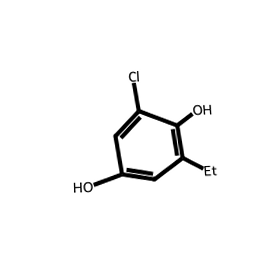 [CH2]Cc1cc(O)cc(Cl)c1O